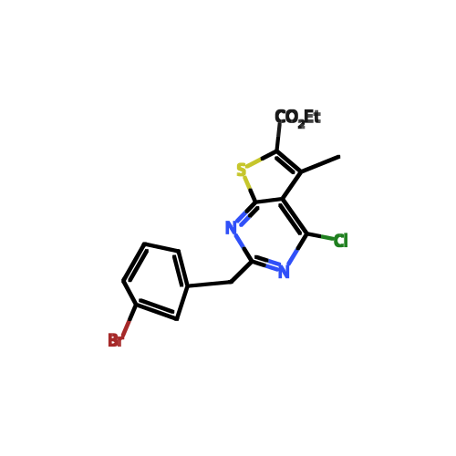 CCOC(=O)c1sc2nc(Cc3cccc(Br)c3)nc(Cl)c2c1C